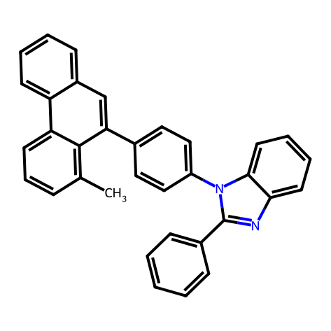 Cc1cccc2c1c(-c1ccc(-n3c(-c4ccccc4)nc4ccccc43)cc1)cc1ccccc12